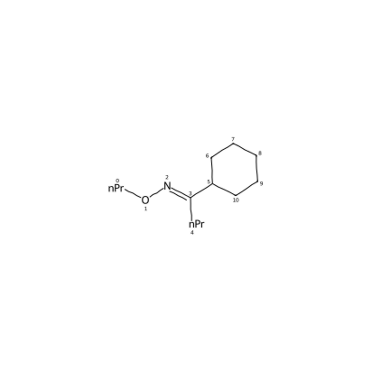 CCCO/N=C(\CCC)C1CCCCC1